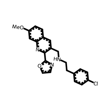 COc1ccc2cc(CNCCc3ccc(Cl)cc3)c(-c3ncco3)nc2c1